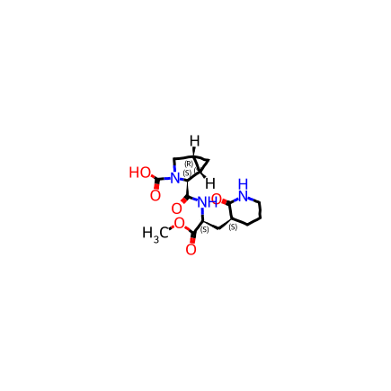 COC(=O)[C@H](C[C@@H]1CCCNC1=O)NC(=O)[C@@H]1[C@H]2C[C@H]2CN1C(=O)O